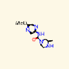 COc1cnc(NC(=O)N2CCNC(C)C2)cn1